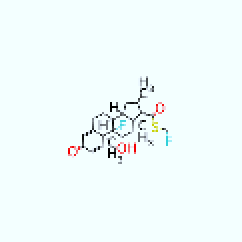 C[C@@H]1C[C@H]2[C@@H]3CCC4=CC(=O)C=C[C@]4(C)C3(F)[C@@H](O)C[C@]2(C)[C]1C(=O)SCF